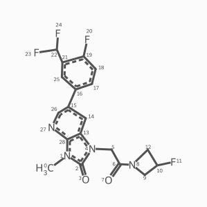 Cn1c(=O)n(CC(=O)N2CC(F)C2)c2cc(-c3ccc(F)c(C(F)F)c3)cnc21